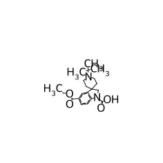 CCOC(=O)c1ccc2c(c1)C1(CCN(C(C)(C)C)CC1)CN2C(=O)O